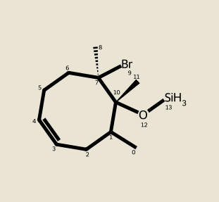 CC1CC=CCC[C@@](C)(Br)[C@]1(C)O[SiH3]